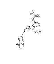 CN(C)C(=O)c1cccc([C@H](CC(=O)O)c2nc(CCCc3ccc4c(n3)NCCC4)cs2)c1